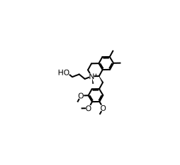 COc1cc(C[C@@H]2c3cc(C)c(C)cc3CC[N@@+]2(C)CCCO)cc(OC)c1OC